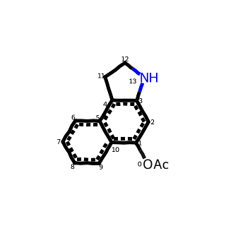 CC(=O)Oc1cc2c(c3ccccc13)CCN2